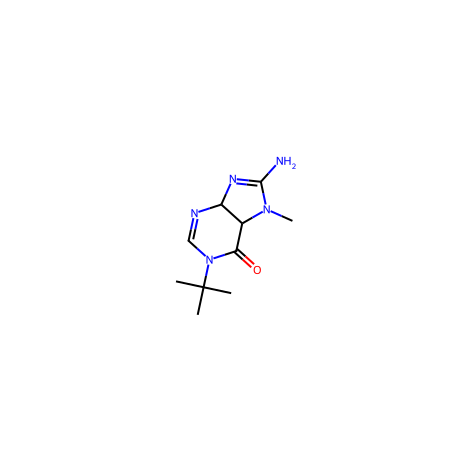 CN1C(N)=NC2N=CN(C(C)(C)C)C(=O)C21